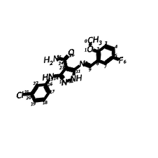 COc1ccc(F)cc1/C=N/c1[nH]nc(Nc2cccc(Cl)c2)c1C(N)=O